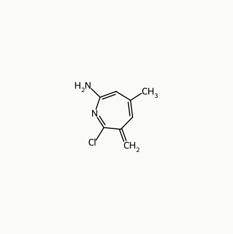 C=C1C=C(C)C=C(N)N=C1Cl